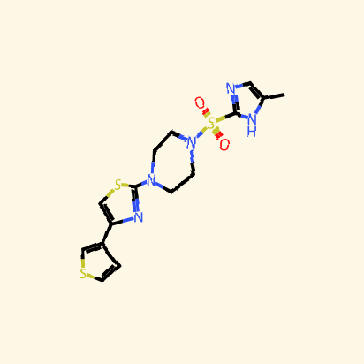 Cc1cnc(S(=O)(=O)N2CCN(c3nc(-c4ccsc4)cs3)CC2)[nH]1